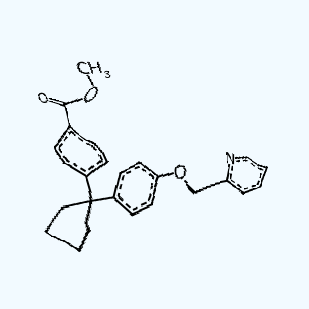 COC(=O)c1ccc(C2(c3ccc(OCc4ccccn4)cc3)CCCC2)cc1